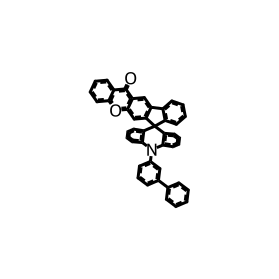 O=c1c2ccccc2oc2cc3c(cc12)-c1ccccc1C31c2ccccc2N(c2cccc(-c3ccccc3)c2)c2ccccc21